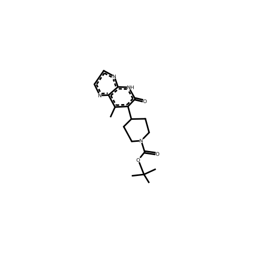 Cc1c(C2CCN(C(=O)OC(C)(C)C)CC2)c(=O)[nH]c2nccnc12